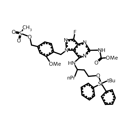 CCCC(CCO[Si](c1ccccc1)(c1ccccc1)C(C)(C)C)Nc1nc(NC(=O)OC)nc2c(F)nn(Cc3ccc(COS(C)(=O)=O)cc3OC)c12